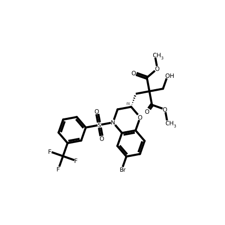 COC(=O)C(CO)(C[C@H]1CN(S(=O)(=O)c2cccc(C(F)(F)F)c2)c2cc(Br)ccc2O1)C(=O)OC